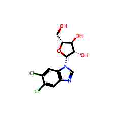 OC[C@H]1O[C@@H](n2cnc3cc(Cl)c(Cl)cc32)[C@@H](O)[C@@H]1O